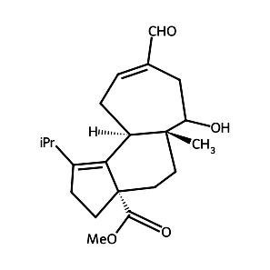 COC(=O)[C@]12CCC(C(C)C)=C1[C@H]1CC=C(C=O)CC(O)[C@]1(C)CC2